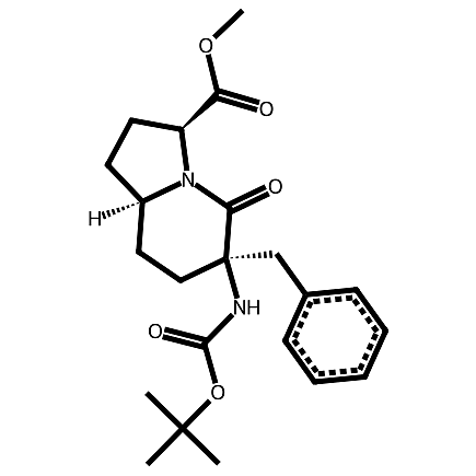 COC(=O)[C@@H]1CC[C@@H]2CC[C@](Cc3ccccc3)(NC(=O)OC(C)(C)C)C(=O)N21